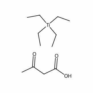 CC(=O)CC(=O)O.C[CH2][Ti]([CH2]C)([CH2]C)[CH2]C